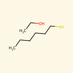 CCCCCCS.CCO